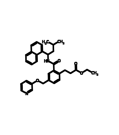 CCOC(=O)CCc1ccc(COc2cccnc2)cc1C(=O)NC(CC(C)C)c1cccc2ccccc12